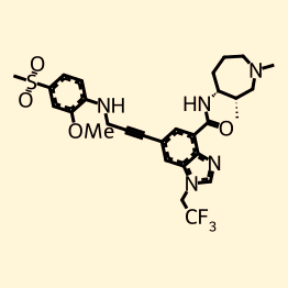 COc1cc(S(C)(=O)=O)ccc1NCC#Cc1cc(C(=O)N[C@@H]2CCCN(C)C[C@@H]2C)c2ncn(CC(F)(F)F)c2c1